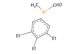 CCc1cccc(CC)c1CC.C[P]C=O